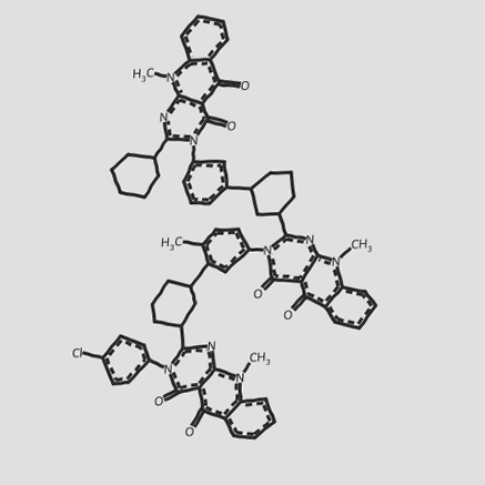 Cc1ccc(-n2c(C3CCCC(c4cccc(-n5c(C6CCCCC6)nc6c(c(=O)c7ccccc7n6C)c5=O)c4)C3)nc3c(c(=O)c4ccccc4n3C)c2=O)cc1C1CCCC(c2nc3c(c(=O)c4ccccc4n3C)c(=O)n2-c2ccc(Cl)cc2)C1